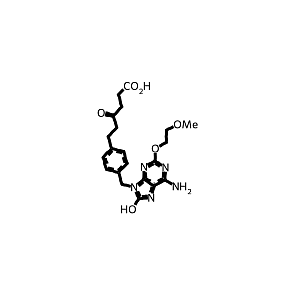 COCCOc1nc(N)c2nc(O)n(Cc3ccc(CCC(=O)CCC(=O)O)cc3)c2n1